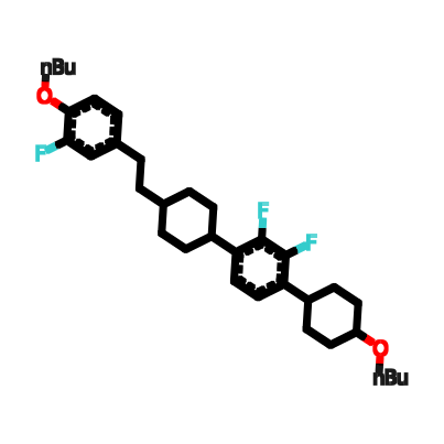 CCCCOc1ccc(CCC2CCC(c3ccc(C4CCC(OCCCC)CC4)c(F)c3F)CC2)cc1F